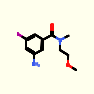 COCCN(C)C(=O)c1cc(N)cc(I)c1